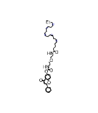 CC/C=C\C/C=C\C/C=C\C/C=C\C/C=C\CCCC(=O)NCCOCCNC(=O)Oc1ccc2oc(-c3ccccc3)cc(=O)c2c1